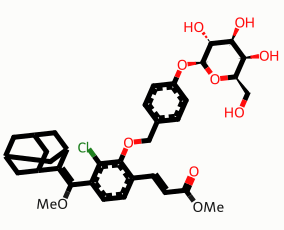 COC(=O)/C=C/c1ccc(C(OC)=C2C3CC4CC(C3)CC2C4)c(Cl)c1OCc1ccc(O[C@@H]2O[C@H](CO)[C@H](O)[C@H](O)[C@H]2O)cc1